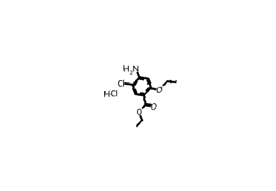 CCOC(=O)c1cc(Cl)c(N)cc1OCC.Cl